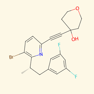 C[C@@H](Cc1cc(F)cc(F)c1)c1nc(C#CC2(O)CCOCC2)ccc1Br